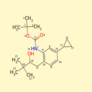 CC(C)(C)OC(=O)Nc1cc(C2CC2)ccc1CC(O)C(C)(C)C